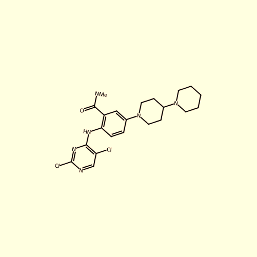 CNC(=O)c1cc(N2CCC(N3CCCCC3)CC2)ccc1Nc1nc(Cl)ncc1Cl